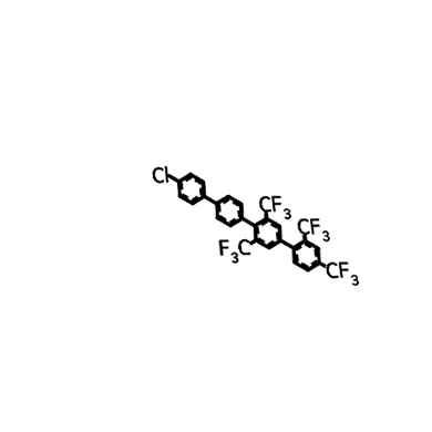 FC(F)(F)c1ccc(-c2cc(C(F)(F)F)c(-c3ccc(-c4ccc(Cl)cc4)cc3)c(C(F)(F)F)c2)c(C(F)(F)F)c1